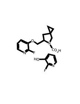 O=C(O)N1CC2(CC2)CC1COc1cccnc1F.Oc1cccnc1F